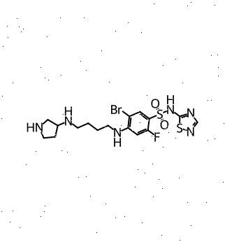 O=S(=O)(Nc1ncns1)c1cc(Br)c(NCCCCNC2CCNC2)cc1F